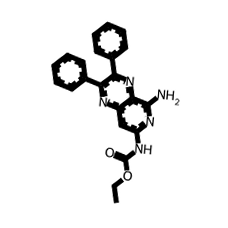 CCOC(=O)Nc1cc2nc(-c3ccccc3)c(-c3ccccc3)nc2c(N)n1